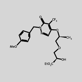 CCOC(=O)[C@H](O)COC[C@H](C)Oc1cnn(Cc2ccc(OC)cc2)c(=O)c1C(F)(F)F